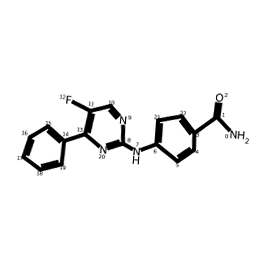 NC(=O)c1ccc(Nc2ncc(F)c(-c3ccccc3)n2)cc1